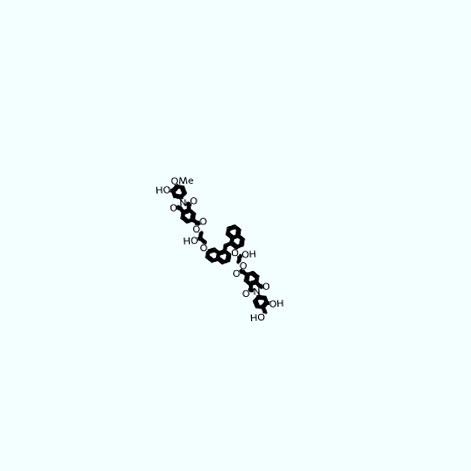 COc1ccc(N2C(=O)c3ccc(C(=O)OCC(O)COc4ccc5cccc(Cc6c(OC(O)COC(=O)c7ccc8c(c7)C(=O)N(c7ccc(CO)c(O)c7)C8=O)ccc7ccccc67)c5c4)cc3C2=O)cc1O